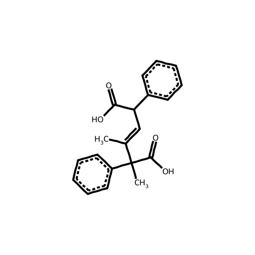 CC(=CC(C(=O)O)c1ccccc1)C(C)(C(=O)O)c1ccccc1